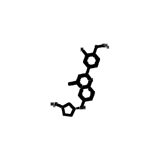 COc1ccc(-c2cc(=O)n3cc(N[C@@H]4CCN(C)C4)ccc3n2)cc1F